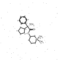 C[C@@](C(=O)O[C@@H]1CCC[N+](C)(C)C1)(c1ccccc1)C1CCCC1